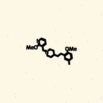 COc1ccc(C)cc1CCC1CCN(Cc2cccnc2OC)CC1